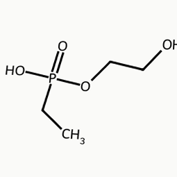 CCP(=O)(O)OCCO